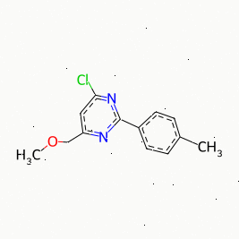 COCc1cc(Cl)nc(-c2ccc(C)cc2)n1